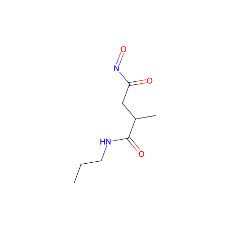 CCCNC(=O)C(C)CC(=O)N=O